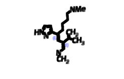 C=N/C=C(\C=C(/CCCCNC)c1cc[nH]n1)C(=C)C